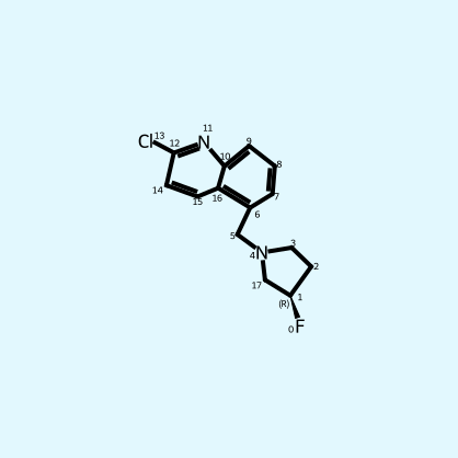 F[C@@H]1CCN(Cc2cccc3nc(Cl)ccc23)C1